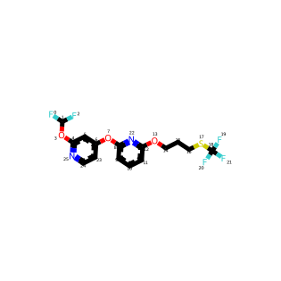 FC(F)Oc1cc(Oc2cccc(OCCCSC(F)(F)F)n2)ccn1